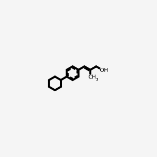 C/C(=C\c1ccc(C2CCCCC2)cc1)CO